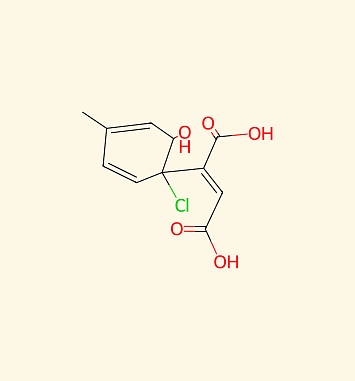 CC1=CC(O)C(Cl)(/C(=C\C(=O)O)C(=O)O)C=C1